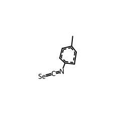 Cc1ccc(N=C=[Se])cc1